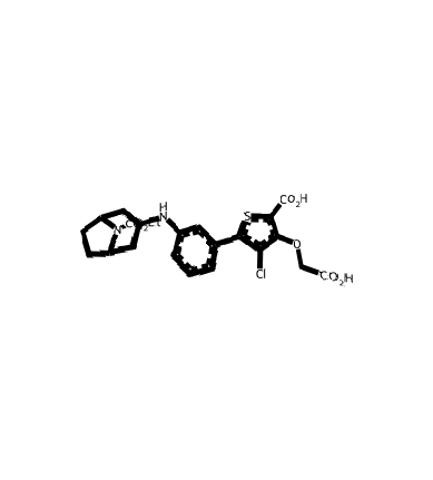 CCOC(=O)N1C2CCC1CC(Nc1cccc(-c3sc(C(=O)O)c(OCC(=O)O)c3Cl)c1)C2